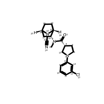 CN(C(=O)[C@@H]1CCN(c2cccc(Cl)c2)C1)[C@@H]1C[C@@H]2CC[C@H]1N2C#N